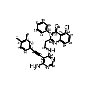 Cc1nc(C#Cc2c(N)ncnc2NCCc2nc3cccc(Cl)c3c(=O)n2-c2ccccc2)ccc1F